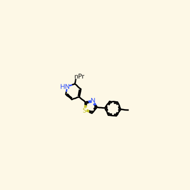 CCCC1C=C(c2nc(-c3ccc(C)cc3)cs2)C=CN1